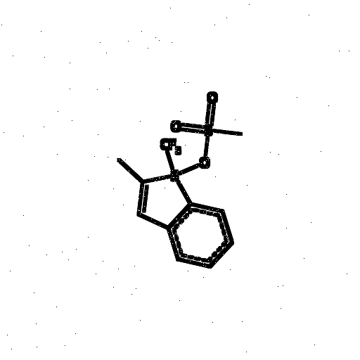 CC1=Cc2ccccc2S1(OS(C)(=O)=O)C(F)(F)F